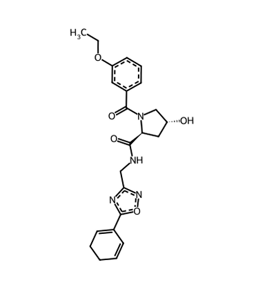 CCOc1cccc(C(=O)N2C[C@H](O)C[C@H]2C(=O)NCc2noc(C3=CCCC=C3)n2)c1